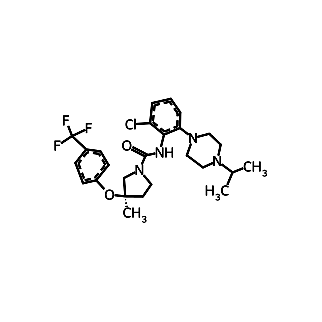 CC(C)N1CCN(c2cccc(Cl)c2NC(=O)N2CC[C@@](C)(Oc3ccc(C(F)(F)F)cc3)C2)CC1